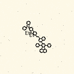 CCC1(CC)c2cc(/C=C/c3ccc(-c4cc(-c5ccccc5)c5c(c4-c4ccccc4)-c4cccc6cccc-5c46)c4ccccc34)ccc2-c2ccc(N(c3ccccc3)c3ccccc3)cc21